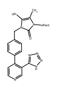 CCCCCn1c(C)c(CCC)n(Cc2ccc(-c3ccncc3-c3nnn[nH]3)cc2)c1=O